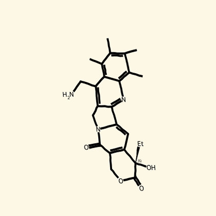 CC[C@@]1(O)C(=O)OCc2c1cc1n(c2=O)Cc2c-1nc1c(C)c(C)c(C)c(C)c1c2CN